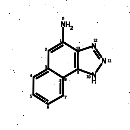 Nc1cc2ccccc2c2[nH]nnc12